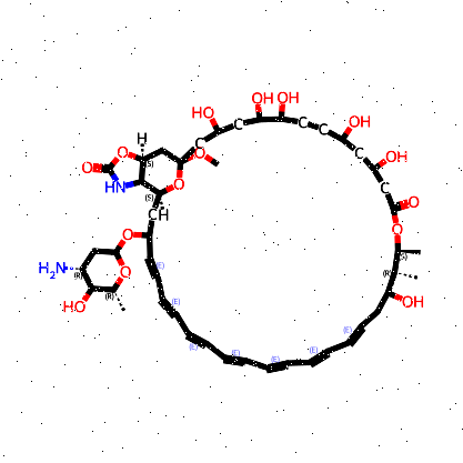 COC12CC(O)CC(O)C(O)CCC(O)CC(O)CC(=O)O[C@@H](C)[C@H](C)C(O)C/C=C/C=C/C=C/C=C/C=C/C=C/C=C/C(OC3C[C@@H](N)C(O)[C@@H](C)O3)C[C@H](O1)C1NC(=O)O[C@H]1C2